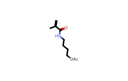 C=C(C)C(=O)NCCCCOC(C)=O